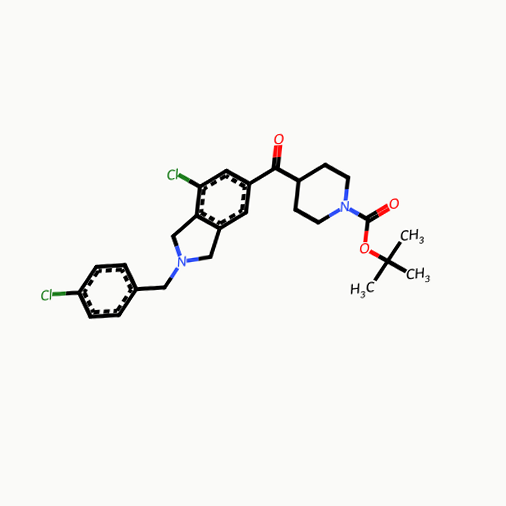 CC(C)(C)OC(=O)N1CCC(C(=O)c2cc(Cl)c3c(c2)CN(Cc2ccc(Cl)cc2)C3)CC1